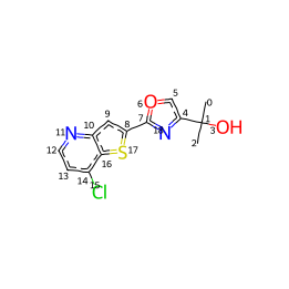 CC(C)(O)c1coc(-c2cc3nccc(Cl)c3s2)n1